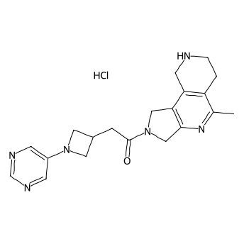 Cc1nc2c(c3c1CCNC3)CN(C(=O)CC1CN(c3cncnc3)C1)C2.Cl